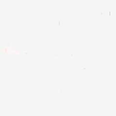 O=C(O)c1cccc(C2=CC(O)c3ccccc32)c1Br